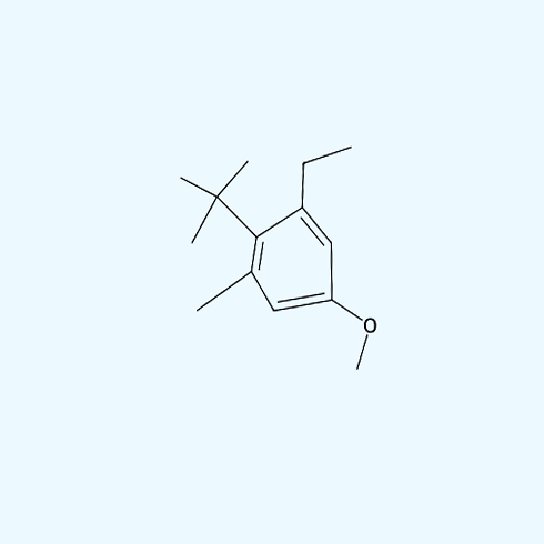 CCc1cc(OC)cc(C)c1C(C)(C)C